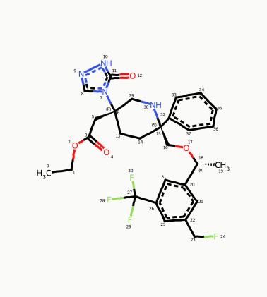 CCOC(=O)C[C@]1(n2cn[nH]c2=O)CC[C@@](CO[C@H](C)c2cc(CF)cc(C(F)(F)F)c2)(c2ccccc2)NC1